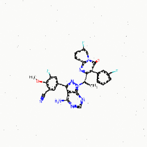 COc1c(F)cc(-c2nn(C(C)c3nc4ccc(F)cn4c(=O)c3-c3cccc(F)c3)c3ncnc(N)c23)cc1C#N